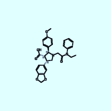 CCN(C(=O)CN1C[C@H](c2ccc3c(c2)OCO3)[C@H](C(=O)O)[C@H]1c1ccc(OC)cc1)c1ccccc1